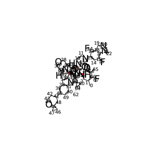 Cc1cc(-n2nc3c(c2-n2ccn(-c4cc(F)c5c(cnn5C)c4F)c2=O)[C@@H]2COC[C@H](C3)N2C(=O)c2cc3cc(C4CCOC5(CC5)C4)ccc3n2[C@@]2(c3noc(=O)[nH]3)C[C@@H]2C)cc(C)c1F